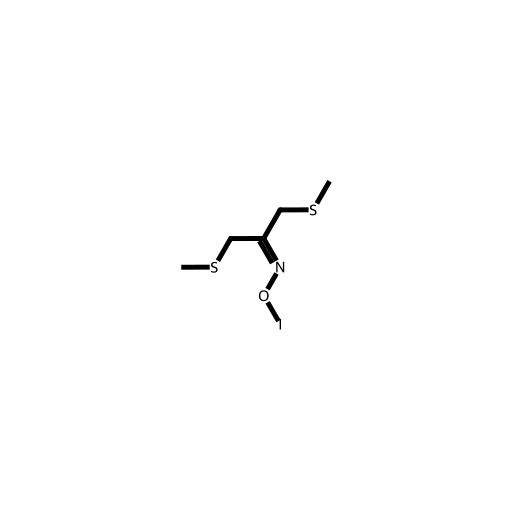 CSCC(CSC)=NOI